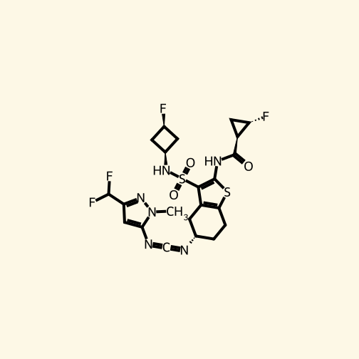 Cn1nc(C(F)F)cc1N=C=N[C@H]1CCc2sc(NC(=O)[C@H]3C[C@@H]3F)c(S(=O)(=O)N[C@H]3C[C@@H](F)C3)c2C1